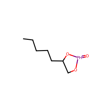 CCCCCC1CO[PH](=O)O1